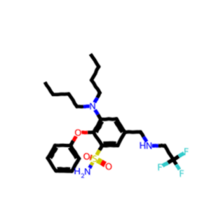 CCCCN(CCCC)c1cc(CNCC(F)(F)F)cc(S(N)(=O)=O)c1Oc1ccccc1